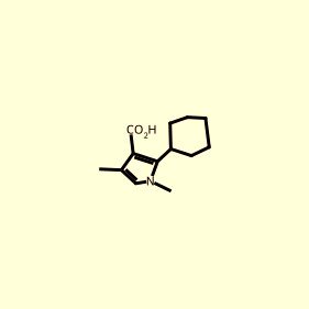 Cc1cn(C)c(C2CCCCC2)c1C(=O)O